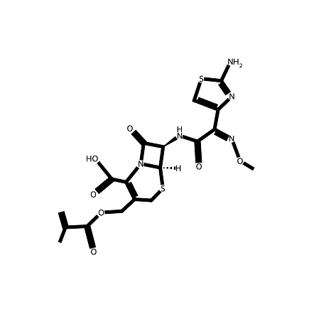 C=C(C)C(=O)OCC1=C(C(=O)O)N2C(=O)[C@@H](NC(=O)/C(=N\OC)c3csc(N)n3)[C@H]2SC1